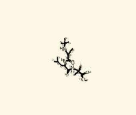 COC(=O)C(C)(C)NC(=O)C(CC(C)C)NC(=O)C(C)NC(C)(C)C